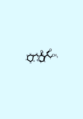 CCC(C=O)c1ccnn(CC2CCCCC2)c1=O